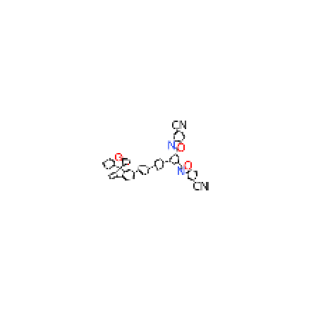 N#Cc1ccc2oc(-c3cc(-c4ccc(-c5ccc(-c6ccc7c(c6)C6(c8ccccc8Oc8ccccc86)c6ccccc6-7)cc5)cc4)cc(-c4nc5cc(C#N)ccc5o4)c3)nc2c1